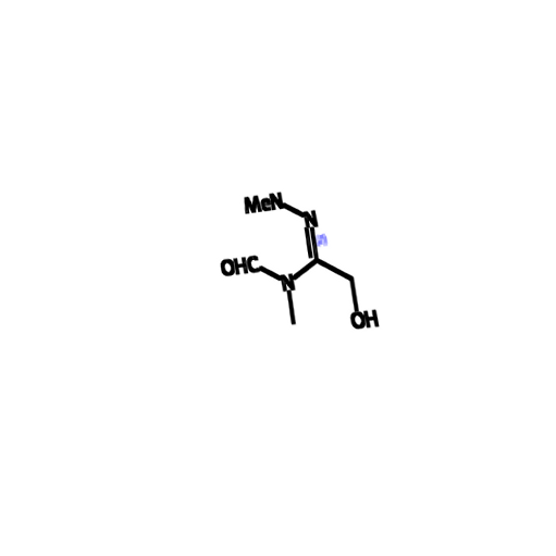 CN/N=C(/CO)N(C)C=O